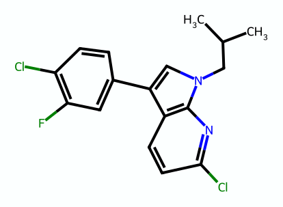 CC(C)Cn1cc(-c2ccc(Cl)c(F)c2)c2ccc(Cl)nc21